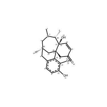 C[C@H]1N(C)C[C@@H]2Cc3ccc(O)c(O)c3[C@]3(CC(=O)C=C[C@@]13O)C2